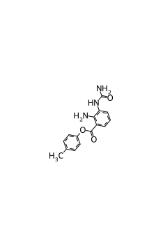 Cc1ccc(OC(=O)c2cccc(NC(N)=O)c2N)cc1